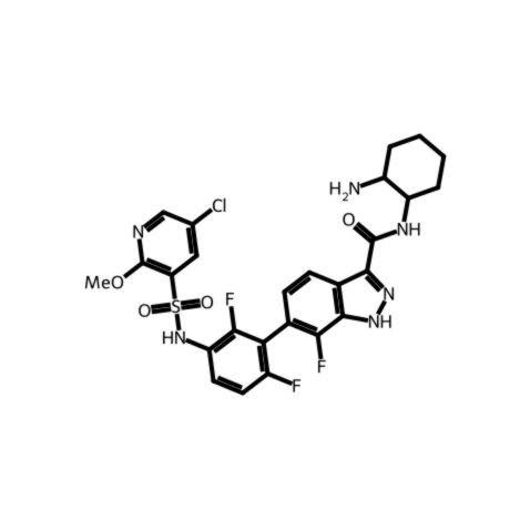 COc1ncc(Cl)cc1S(=O)(=O)Nc1ccc(F)c(-c2ccc3c(C(=O)NC4CCCCC4N)n[nH]c3c2F)c1F